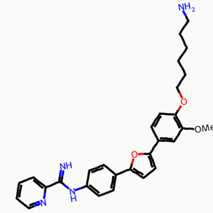 COc1cc(-c2ccc(-c3ccc(NC(=N)c4ccccn4)cc3)o2)ccc1OCCCCCCN